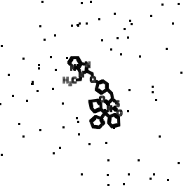 CCn1c(COc2ccc(CC3SC(=O)N(C(c4ccccc4)(c4ccccc4)c4ccccc4)C3=O)cc2)nc2cccnc21